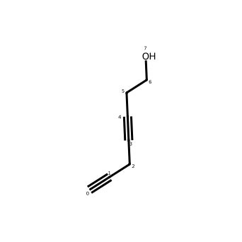 C#CCC#CCCO